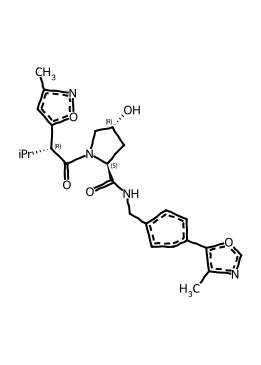 Cc1cc([C@H](C(=O)N2C[C@H](O)C[C@H]2C(=O)NCc2ccc(-c3ocnc3C)cc2)C(C)C)on1